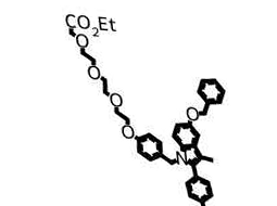 CCOC(=O)COCCOCCOCCOc1ccc(Cn2c(-c3ccc(C)cc3)c(C)c3cc(OCc4ccccc4)ccc32)cc1